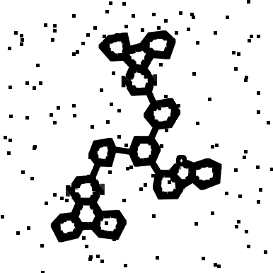 c1cc(-c2cc(-c3cccc(-c4cnc5c6ccccc6c6ccccc6c5n4)c3)cc(-c3cccc4c3oc3ccccc34)c2)cc(-c2cnc3c4ccccc4c4ccccc4c3n2)c1